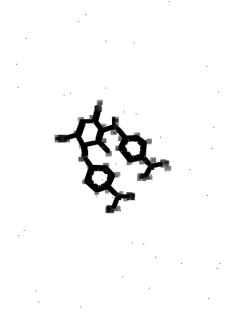 CCN(c1ccc(/N=C2/C(O)=CC(=O)C(Nc3ccc(N(CC)C(C)C)cc3)=C2C)cc1)C(C)C